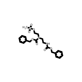 CS(=O)(=O)OCCN(CCNC(=O)OCc1ccccc1)C(=O)OCc1ccccc1